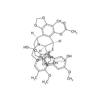 COc1ccc2[nH]c3c(c2c1)C[C@@H](CO)N[C@]31S[C@@H]2c3c(OC(C)=O)c(C)c4c(c3[C@H](COC1=O)N1[C@@H]2C2c3c(cc(C)c(OC)c3O)CC1(O)CN2C)OCO4